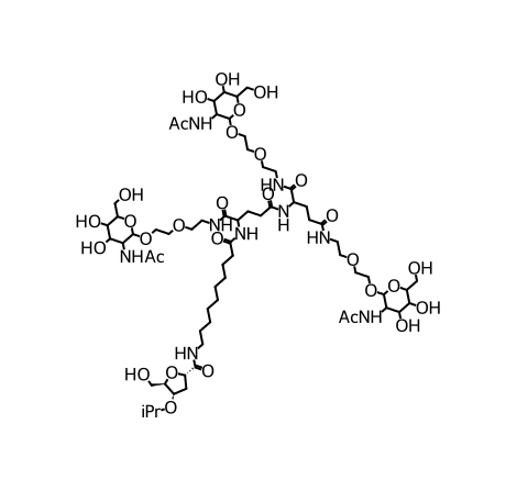 CC(=O)NC1C(OCCOCCNC(=O)CCC(NC(=O)CCC(NC(=O)CCCCCCCCCNC(=O)[C@@H]2C[C@H](OC(C)C)[C@@H](CO)O2)C(=O)NCCOCCOC2OC(CO)C(O)C(O)C2NC(C)=O)C(=O)NCCOCCOC2OC(CO)C(O)C(O)C2NC(C)=O)OC(CO)C(O)C1O